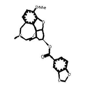 COc1ccc2c3c1OC1C[C@@H](OC(=O)c4ccc5c(c4)OCO5)CC(C)[C@@]31CCN(C)C2